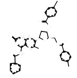 Cc1ccc(C(=O)OC[C@H]2O[C@@H](c3nc4[nH]c(=O)nc(NC(=O)c5ccccc5)c4nc3C)C[C@@H]2OC(=O)c2ccc(C)cc2)cc1